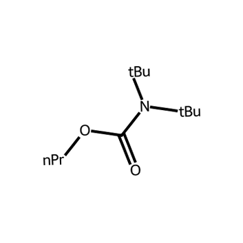 CCCOC(=O)N(C(C)(C)C)C(C)(C)C